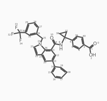 O=C(O)c1ccc(C2(NC(=O)c3cc(-c4ccccc4)cc4ccn(Cc5cccc(C(F)(F)F)c5)c34)CC2)cc1